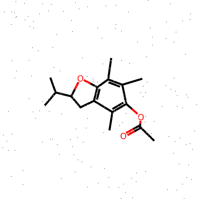 CC(=O)Oc1c(C)c(C)c2c(c1C)CC(C(C)C)O2